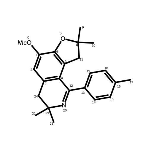 COc1cc2c(c3c1OC(C)(C)C3)C(c1ccc(C)cc1)=NC(C)(C)C2